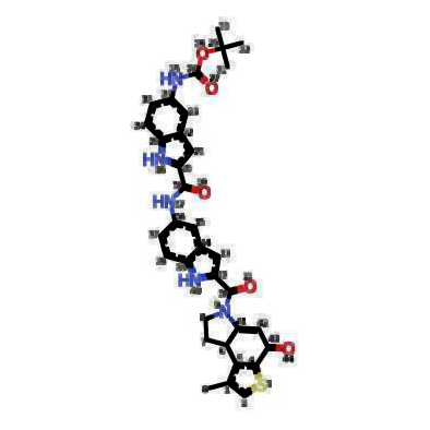 Cc1csc2c1C1CCN(C(=O)c3cc4cc(NC(=O)c5cc6cc(NC(=O)OC(C)(C)C)ccc6[nH]5)ccc4[nH]3)C1=CC2=O